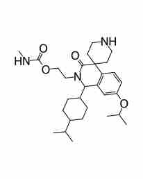 CNC(=O)OCCN1C(=O)C2(CCNCC2)c2ccc(OC(C)C)cc2C1C1CCC(C(C)C)CC1